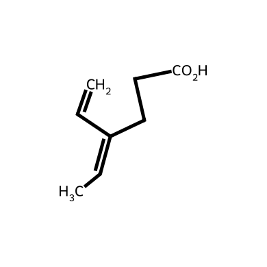 C=C/C(=C\C)CCC(=O)O